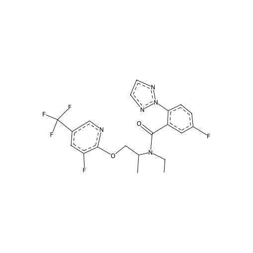 CCN(C(=O)c1cc(F)ccc1-n1nccn1)C(C)COc1ncc(C(F)(F)F)cc1F